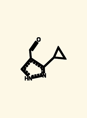 O=Cc1c[nH]nc1C1CC1